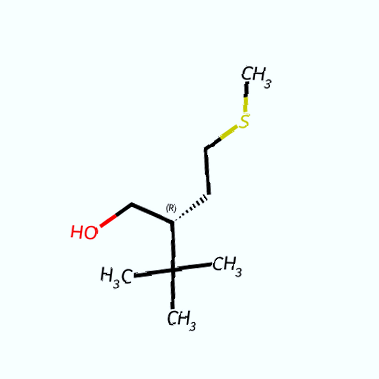 CSCC[C@@H](CO)C(C)(C)C